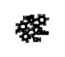 CO[C@H](CO)/C(Cc1ccccn1)=N\C(=O)c1ccccc1-c1cc(-c2ccc(F)cc2)[nH]n1